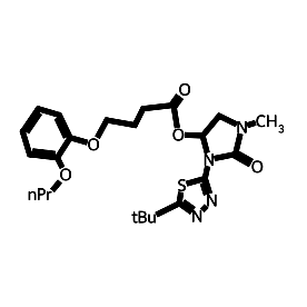 CCCOc1ccccc1OCCCC(=O)OC1CN(C)C(=O)N1c1nnc(C(C)(C)C)s1